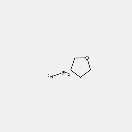 C1CCOC1.[2H]B